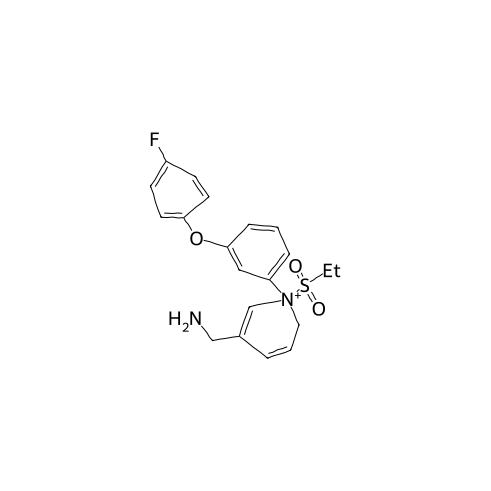 CCS(=O)(=O)[N+]1(c2cccc(Oc3ccc(F)cc3)c2)C=C(CN)C=CC1